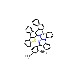 Bc1ccc(-c2nc(N3B(c4ccccc4)c4ccc5ccccc5c4-c4c3c3sc5ccccc5c3c3ccccc43)nc3ccccc23)c(B)c1